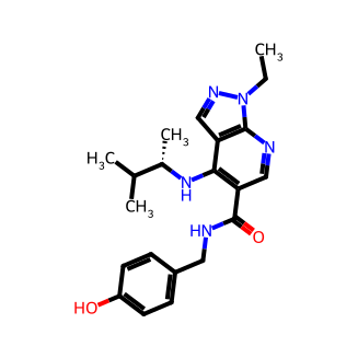 CCn1ncc2c(N[C@@H](C)C(C)C)c(C(=O)NCc3ccc(O)cc3)cnc21